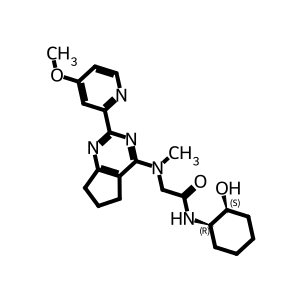 COc1ccnc(-c2nc3c(c(N(C)CC(=O)N[C@@H]4CCCC[C@@H]4O)n2)CCC3)c1